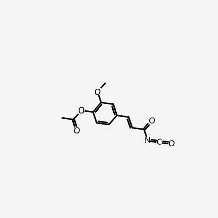 COc1cc(C=CC(=O)N=C=O)ccc1OC(C)=O